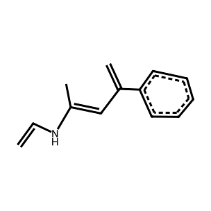 C=CN/C(C)=C/C(=C)c1ccccc1